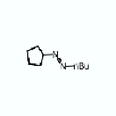 CCCC/N=N/C1CCCC1